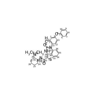 Cc1cc(Oc2ccccc2)ccc1N1C(=O)Nc2c(C(=O)N[C@@H]3CCCC[C@@H]3N(C)C)sc3cccc1c23